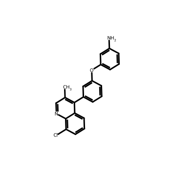 Cc1cnc2c(Cl)cccc2c1-c1cccc(Oc2cccc(N)c2)c1